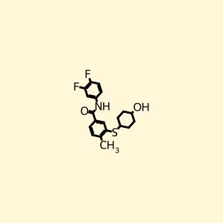 Cc1ccc(C(=O)Nc2ccc(F)c(F)c2)cc1SC1CCC(O)CC1